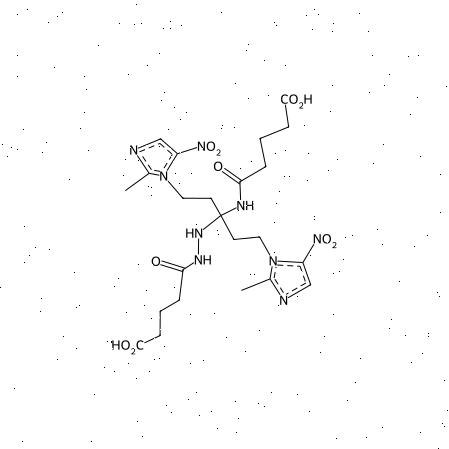 Cc1ncc([N+](=O)[O-])n1CCC(CCn1c([N+](=O)[O-])cnc1C)(NNC(=O)CCCC(=O)O)NC(=O)CCCC(=O)O